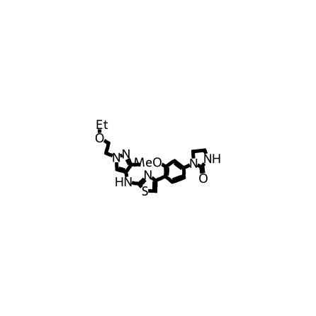 CCOCCn1cc(Nc2nc(-c3ccc(N4CCNC4=O)cc3OC)cs2)c(C)n1